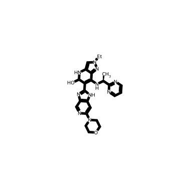 CCn1cc2c(n1)C(N[C@@H](C)c1ncccn1)=C(c1nc3cnc(N4CCOCC4)cc3[nH]1)C(O)N2